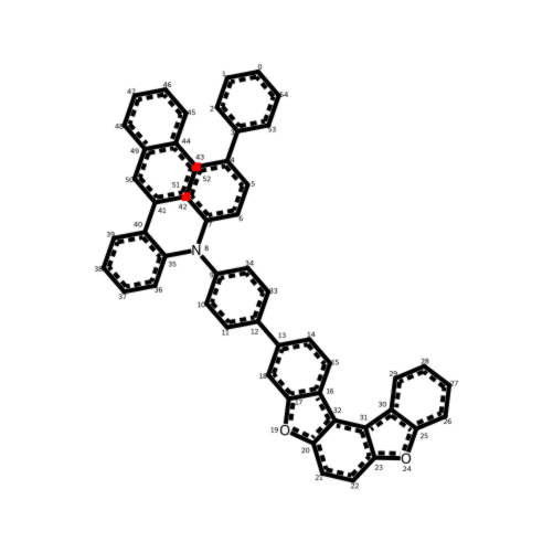 c1ccc(-c2ccc(N(c3ccc(-c4ccc5c(c4)oc4ccc6oc7ccccc7c6c45)cc3)c3ccccc3-c3ccc4ccccc4c3)cc2)cc1